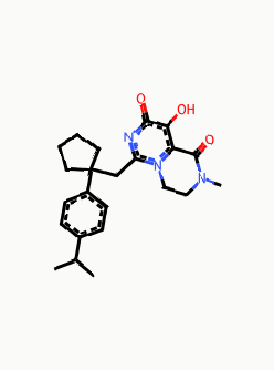 CC(C)c1ccc(C2(Cc3nc(=O)c(O)c4n3CCN(C)C4=O)CCCC2)cc1